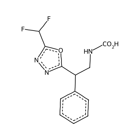 O=C(O)NCC(c1ccccc1)c1nnc(C(F)F)o1